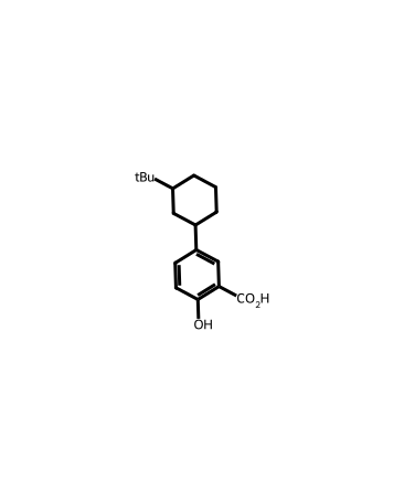 CC(C)(C)C1CCCC(c2ccc(O)c(C(=O)O)c2)C1